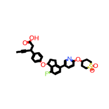 CC#CC(CC(=O)O)c1ccc(O[C@@H]2CCc3c(-c4ccc(OC5CCS(=O)(=O)CC5)nc4)ccc(F)c32)cc1